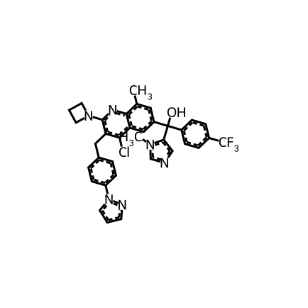 Cc1cc(C(O)(c2ccc(C(F)(F)F)cc2)c2cncn2C)cc2c(Cl)c(Cc3ccc(-n4cccn4)cc3)c(N3CCC3)nc12